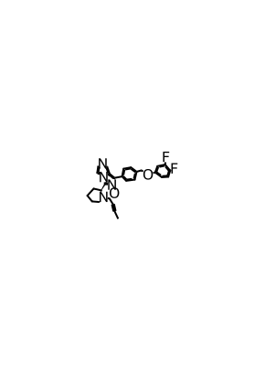 CC#CC(=O)N1CCCC[C@H]1c1nc(-c2ccc(COc3ccc(F)c(F)c3)cc2)c2cnccn12